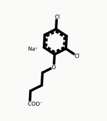 O=C([O-])CCCOc1ccc(Cl)cc1Cl.[Na+]